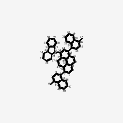 Cc1ccc(-c2ccc3ccc4c(-c5ccc(C)c6ccccc56)cc(N5c6ccccc6C6C=CC=CC65)c5ccc2c3c45)c2ccccc12